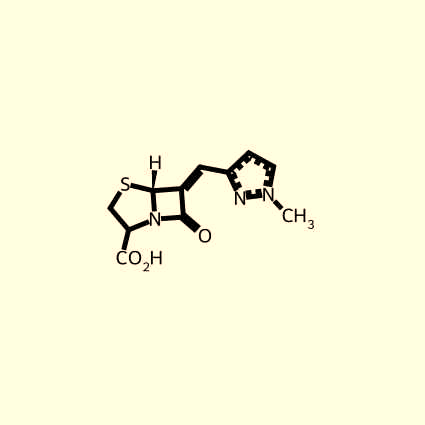 Cn1ccc(C=C2C(=O)N3C(C(=O)O)CS[C@H]23)n1